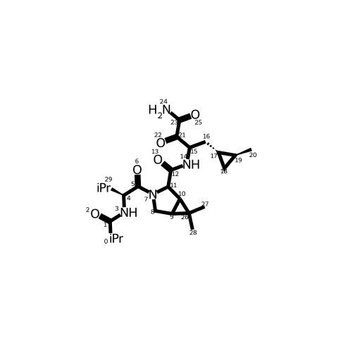 CC(C)C(=O)N[C@H](C(=O)N1CC2C(C1C(=O)NC(C[C@H]1C[C@@H]1C)C(=O)C(N)=O)C2(C)C)C(C)C